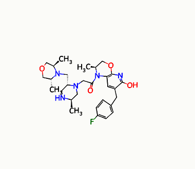 C[C@@H]1CN(CC(=O)N2c3cc(Cc4ccc(F)cc4)c(O)nc3OC[C@@H]2C)[C@@H](CN2[C@H](C)COC[C@H]2C)CN1